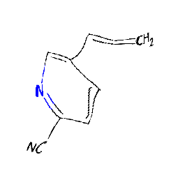 C=Cc1ccc(C#N)nc1